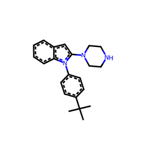 CC(C)(C)c1ccc(-n2c(N3CCNCC3)cc3ccccc32)cc1